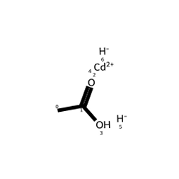 CC(=O)O.[Cd+2].[H-].[H-]